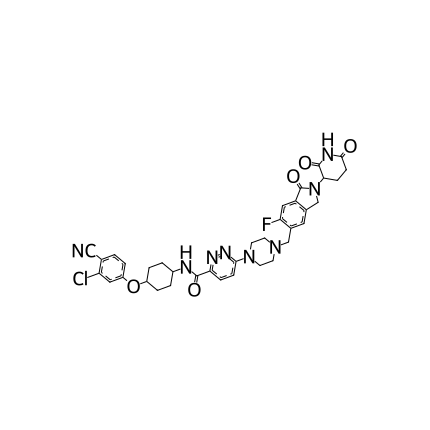 N#Cc1ccc(OC2CCC(NC(=O)c3ccc(N4CCN(Cc5cc6c(cc5F)C(=O)N(C5CCC(=O)NC5=O)C6)CC4)nn3)CC2)cc1Cl